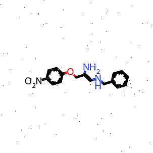 N/C(=C\NCc1ccccc1)COc1ccc([N+](=O)[O-])cc1